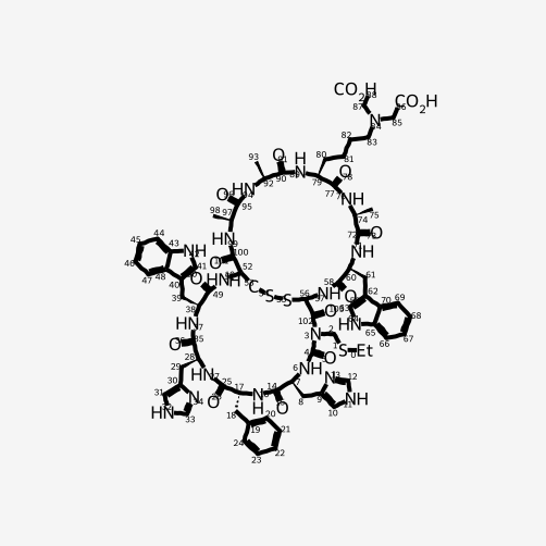 CCSCN1C(=O)N[C@@H](Cc2c[nH]cn2)C(=O)N[C@H](Cc2ccccc2)C(=O)N[C@@H](Cc2c[nH]cn2)C(=O)N[C@@H](Cc2c[nH]c3ccccc23)C(=O)N[C@H]2CSSC(NC(=O)[C@H](Cc3c[nH]c4ccccc34)NC(=O)[C@H](C)NC(=O)[C@H](CCCCN(CC(=O)O)CC(=O)O)NC(=O)[C@H](C)NC(=O)[C@H](C)NC2=O)C1=O